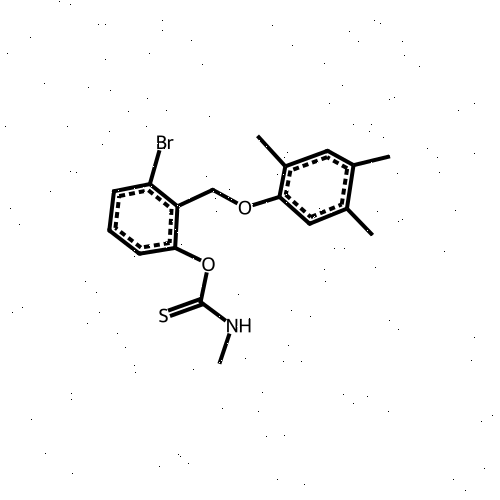 CNC(=S)Oc1cccc(Br)c1COc1cc(C)c(C)cc1C